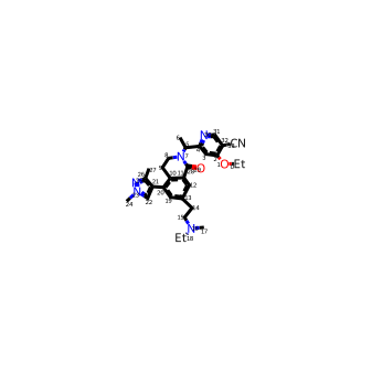 CCOc1cc(C(C)N2CCc3c(cc(CCN(C)CC)cc3-c3cn(C)nc3C)C2=O)ncc1C#N